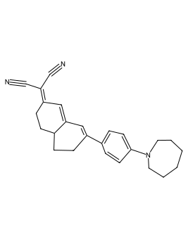 N#CC(C#N)=C1C=C2C=C(c3ccc(N4CCCCCC4)cc3)CCC2CC1